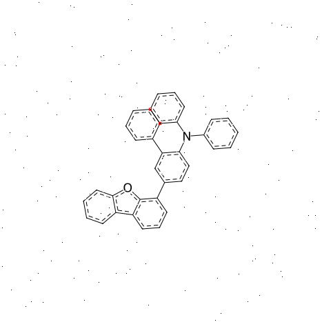 c1ccc(-c2cc(-c3cccc4c3oc3ccccc34)ccc2N(c2ccccc2)c2ccccc2)cc1